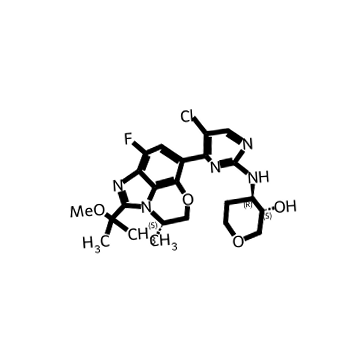 COC(C)(C)c1nc2c(F)cc(-c3nc(N[C@@H]4CCOC[C@H]4O)ncc3Cl)c3c2n1[C@@H](C)CO3